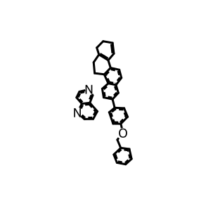 C1=CC2=C(CC1)CCc1c2ccc2cc(-c3ccc(OCc4ccccc4)cc3)ccc12.c1cnc2ccncc2c1